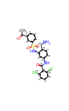 CC(=O)c1cccc(S(=O)(=O)Nc2cc(NC(=O)c3c(Cl)cccc3Cl)ccc2CN)c1